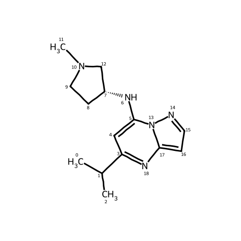 CC(C)c1cc(N[C@@H]2CCN(C)C2)n2nccc2n1